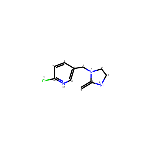 C=C1NCCN1Cc1ccc(Cl)nc1